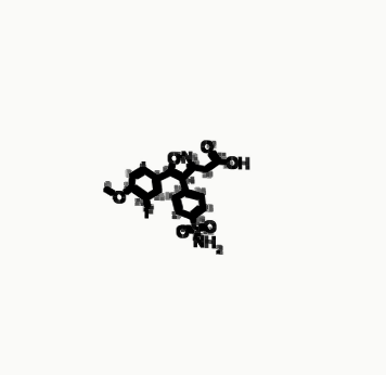 COc1ccc(-c2onc(CC(=O)O)c2-c2ccc(S(N)(=O)=O)cc2)cc1F